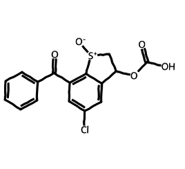 O=C(O)OC1C[S+]([O-])c2c(C(=O)c3ccccc3)cc(Cl)cc21